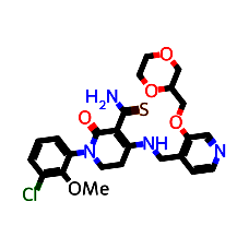 COc1c(Cl)cccc1N1CCC(NCc2ccncc2OCC2COCCO2)=C(C(N)=S)C1=O